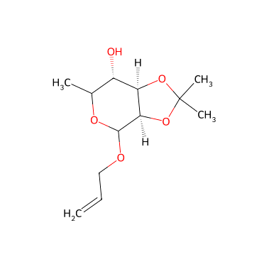 C=CCOC1OC(C)[C@H](O)[C@H]2OC(C)(C)O[C@@H]12